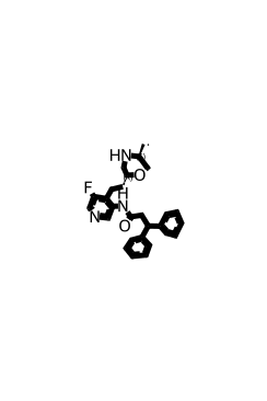 [CH2][C@H]1CO[C@H](CCc2c(F)cncc2NC(=O)CC(c2ccccc2)c2ccccc2)CN1